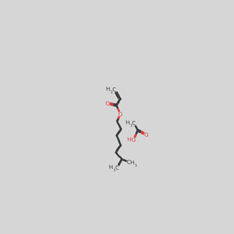 C=CC(=O)OCCCCCC(C)C.CC(=O)O